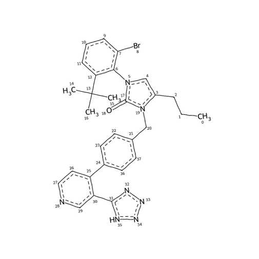 CCCc1cn(-c2c(Br)cccc2C(C)(C)C)c(=O)n1Cc1ccc(-c2ccncc2-c2nnn[nH]2)cc1